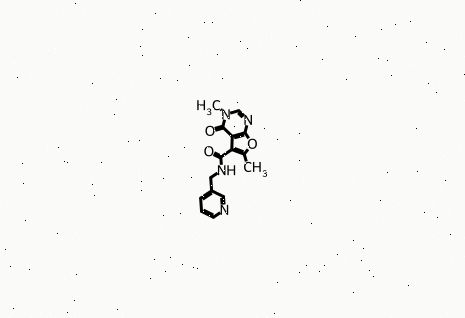 Cc1oc2ncn(C)c(=O)c2c1C(=O)NCc1cccnc1